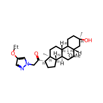 CCOc1cnn(CC(=O)[C@H]2CC[C@H]3[C@@H]4CC[C@H]5C[C@](C)(O)CC[C@]5(COC)[C@H]4CC[C@]23C)c1